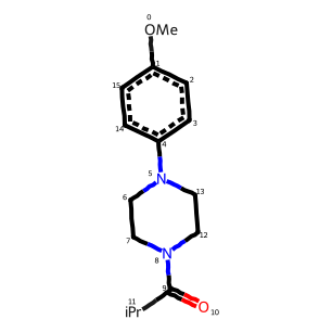 COc1ccc(N2CCN(C(=O)C(C)C)CC2)cc1